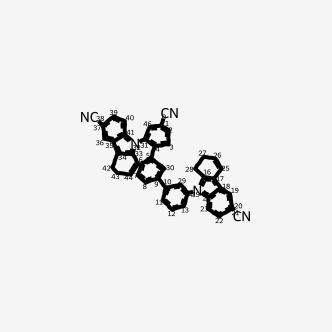 N#Cc1ccc(-c2cccc(-c3cccc(-n4c5c(c6cc(C#N)ccc64)C=CCC5)c3)c2)c(-n2c3c(c4cc(C#N)ccc42)CCC=C3)c1